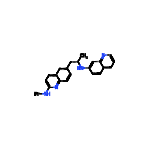 CC(C)Nc1ccc2cc(CC(C)Nc3ccc4cccnc4c3)ccc2n1